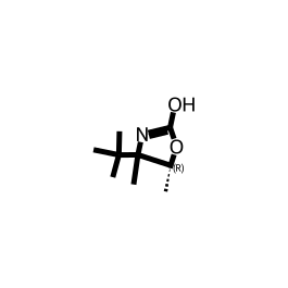 C[C@H]1OC(O)=NC1(C)C(C)(C)C